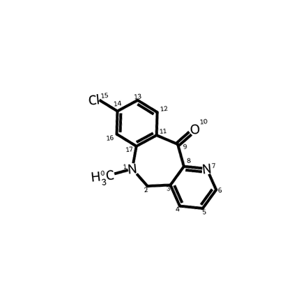 CN1Cc2cccnc2C(=O)c2ccc(Cl)cc21